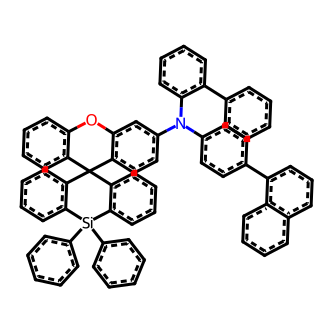 c1ccc(-c2ccccc2N(c2ccc(-c3cccc4ccccc34)cc2)c2ccc3c(c2)Oc2ccccc2C32c3ccccc3[Si](c3ccccc3)(c3ccccc3)c3ccccc32)cc1